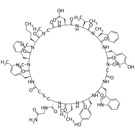 CCCC[C@H]1C(=O)N(C)CC(=O)N[C@@H](CC(=O)O)C(=O)N[C@@H](C(C)C)C(=O)N(C)[C@@H](Cc2ccccc2)C(=O)N[C@@H](Cc2ccc(O)cc2)C(=O)N(C)CC(=O)N[C@@H](Cc2c[nH]c3ccccc23)C(=O)N[C@@H](Cc2ccc(O)cc2)C(=O)N[C@@H](CC(C)C)C(=O)N[C@H](C(=O)NCC(N)=O)CSCC(=O)N[C@@H](Cc2ccc(C)cc2)C(=O)N(C)[C@@H](Cc2ccccc2)C(=O)N1C